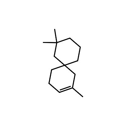 CC1=CCCC2(CCCC(C)(C)C2)C1